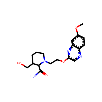 COc1ccc2ncc(OCCN3CC[CH]C(CO)C3C(N)=O)nc2c1